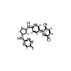 Cc1cnc(N[C@H]2CC[C@H](Nc3ccc(-n4nc(Cl)ccc4=O)cn3)C2)nn1